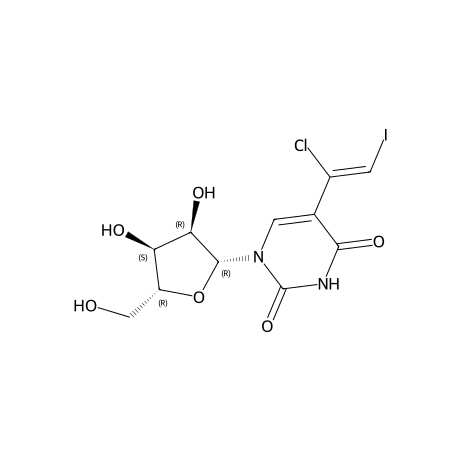 O=c1[nH]c(=O)n([C@@H]2O[C@H](CO)[C@@H](O)[C@H]2O)cc1C(Cl)=CI